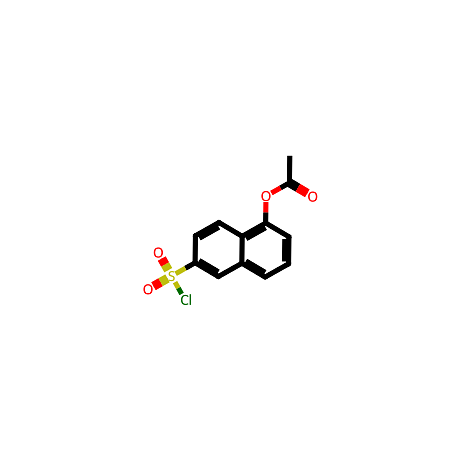 CC(=O)Oc1cccc2cc(S(=O)(=O)Cl)ccc12